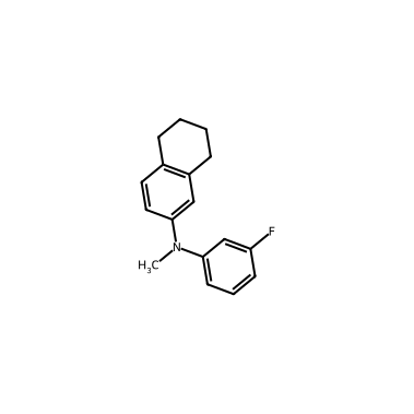 CN(c1cccc(F)c1)c1ccc2c(c1)CCCC2